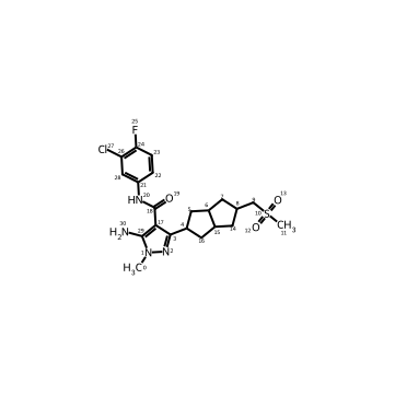 Cn1nc(C2CC3CC(CS(C)(=O)=O)CC3C2)c(C(=O)Nc2ccc(F)c(Cl)c2)c1N